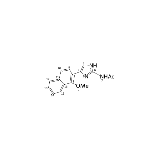 COc1c(-c2c[nH]c(NC(C)=O)n2)ccc2ccccc12